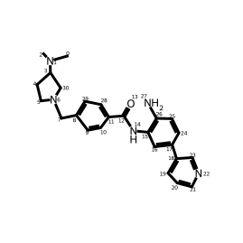 CN(C)C1CCN(Cc2ccc(C(=O)Nc3cc(-c4cccnc4)ccc3N)cc2)C1